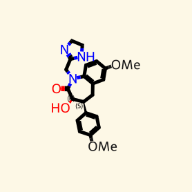 COc1ccc([C@@H]2Cc3cc(OC)ccc3N(CC3=NCCN3)C(=O)[C@@H]2O)cc1